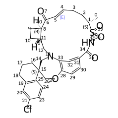 C[C@H]1CC/C=C/C(=O)[C@@H]2CC[C@H]2CN2C[C@@]3(CCCc4cc(Cl)ccc43)COc3ccc(cc32)C(=O)NS1(=O)=O